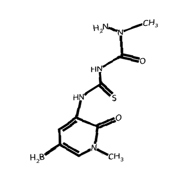 Bc1cc(NC(=S)NC(=O)N(C)N)c(=O)n(C)c1